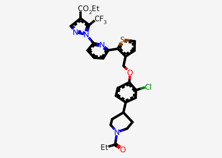 CCOC(=O)c1cnn(-c2cccc(-c3sccc3COc3ccc(C4CCN(C(=O)CC)CC4)cc3Cl)n2)c1C(F)(F)F